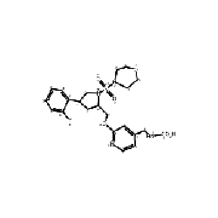 O=C(O)NCc1ccnc(OCC2CC(c3ccccc3F)CN2S(=O)(=O)N2CCOCC2)c1